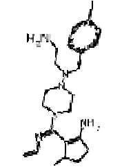 C=C/N=C(\C1=C(N)CCC1C)N1CCN(N(CCN)Cc2ccc(I)cc2)CC1